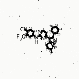 Cc1ccc2c(-c3ccnc(Nc4ccc(Cl)c(C(F)(F)F)c4)n3)c(-c3ccccc3)nn2n1